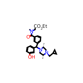 CCOC(=O)CN(C)C(=O)c1cccc(C(c2cccc(O)c2)N2C[C@@H](C)N(CC3CC3)C[C@H]2C)c1